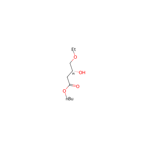 CCCCOC(=O)C[C@@H](O)COCC